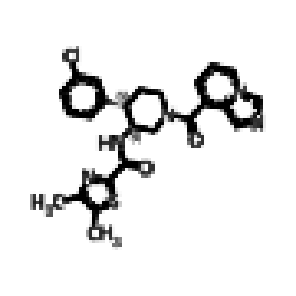 Cc1nc(C(=O)N[C@@H]2CN(C(=O)c3cccn4cncc34)CC[C@H]2c2cccc(Cl)c2)sc1C